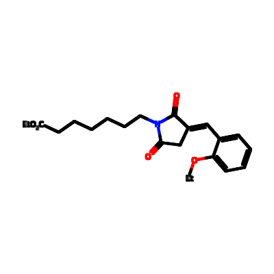 CCOC(=O)CCCCCCN1C(=O)CC(=Cc2ccccc2OCC)C1=O